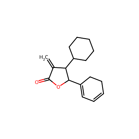 C=C1C(=O)OC(C2=CC=CCC2)C1C1CCCCC1